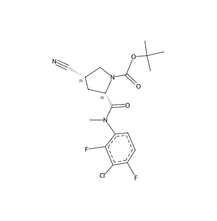 CN(C(=O)[C@@H]1C[C@H](C#N)CN1C(=O)OC(C)(C)C)c1ccc(F)c(Cl)c1F